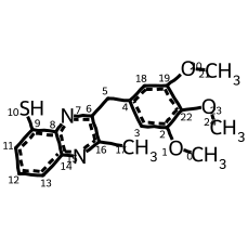 COc1cc(Cc2nc3c(S)cccc3nc2C)cc(OC)c1OC